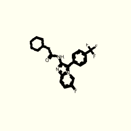 O=C(CC1CCCCC1)Nc1nc2ccc(F)cn2c1-c1ccc(C(F)(F)F)cc1